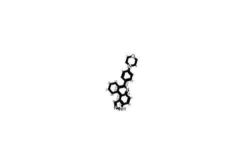 c1cc(N2CCOCC2)ccc1-c1nc2ccc3[nH]ncc3c2c2c1CCCC2